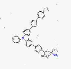 Cc1ccc(-c2ccc(-c3ccc4c(c3)c3cc(-c5ccc(C(CC(C)(C)N)C(C)(C)C)cc5)ccc3n4-c3ccccc3)cc2)cc1